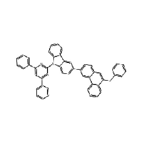 c1ccc(Cc2cc3ccc(-c4ccc5c(c4)c4ccccc4n5-c4nc(-c5ccccc5)nc(-c5ccccc5)n4)cc3c3ccccc23)cc1